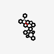 c1ccc(N(c2ccc3c(c2)Cc2ccccc2-3)c2ccccc2-c2ccc(-c3cccc4c3-c3ccccc3C43c4ccccc4-c4ccccc4-c4ccccc43)cc2)cc1